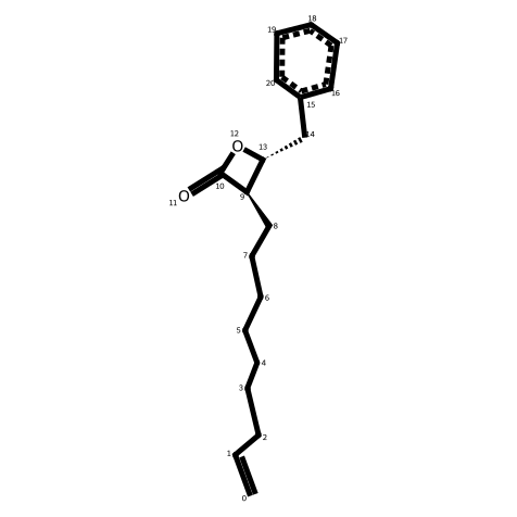 C=CCCCCCCC[C@H]1C(=O)O[C@@H]1Cc1ccccc1